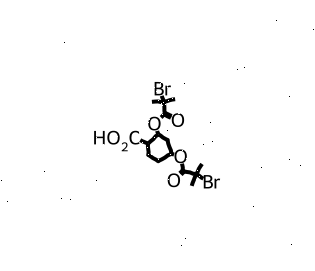 CC(C)(Br)C(=O)OC1CCC(C(=O)O)C(OC(=O)C(C)(C)Br)C1